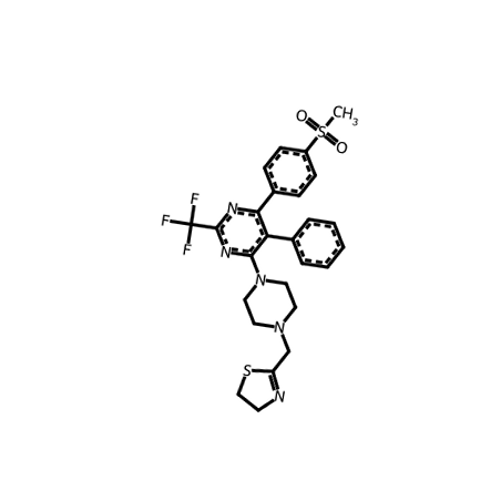 CS(=O)(=O)c1ccc(-c2nc(C(F)(F)F)nc(N3CCN(CC4=NCCS4)CC3)c2-c2ccccc2)cc1